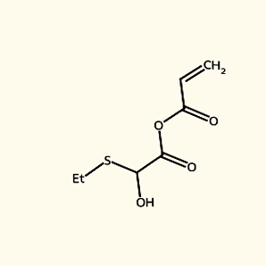 C=CC(=O)OC(=O)C(O)SCC